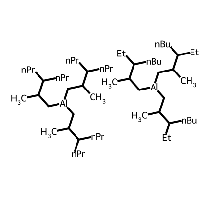 CCCC(CCC)C(C)[CH2][Al]([CH2]C(C)C(CCC)CCC)[CH2]C(C)C(CCC)CCC.CCCCC(CC)C(C)[CH2][Al]([CH2]C(C)C(CC)CCCC)[CH2]C(C)C(CC)CCCC